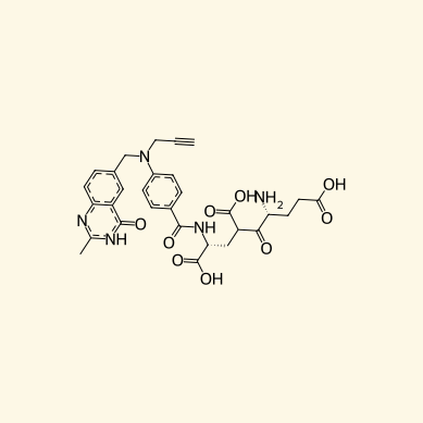 C#CCN(Cc1ccc2nc(C)[nH]c(=O)c2c1)c1ccc(C(=O)N[C@H](CC(C(=O)O)C(=O)[C@H](N)CCC(=O)O)C(=O)O)cc1